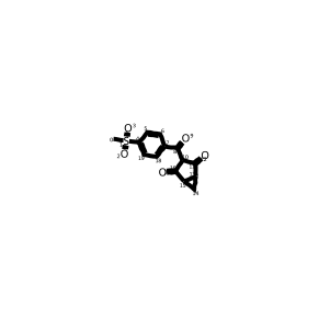 CS(=O)(=O)c1ccc(C(=O)C2C(=O)C3CC3C2=O)cc1